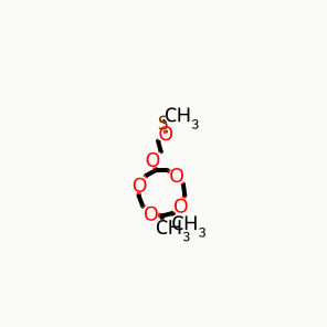 CSOCCOC1COCCOC(C)C(C)OCCOC1